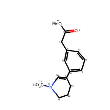 COC(=O)Cc1cccc(C2=CN(C(=O)O)CCC2)c1